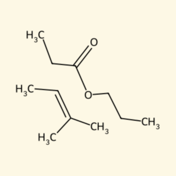 CC=C(C)C.CCCOC(=O)CC